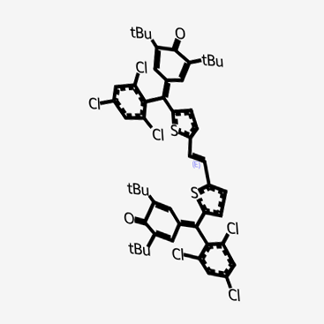 CC(C)(C)C1=CC(=C(c2ccc(/C=C/c3ccc(C(=C4C=C(C(C)(C)C)C(=O)C(C(C)(C)C)=C4)c4c(Cl)cc(Cl)cc4Cl)s3)s2)c2c(Cl)cc(Cl)cc2Cl)C=C(C(C)(C)C)C1=O